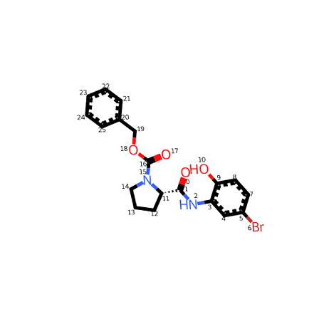 O=C(Nc1cc(Br)ccc1O)[C@@H]1CCCN1C(=O)OCc1ccccc1